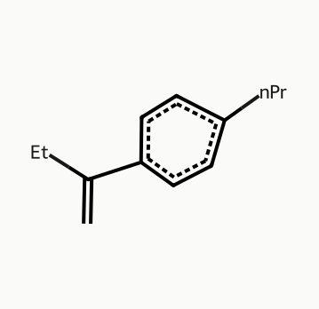 C=C(CC)c1ccc(CCC)cc1